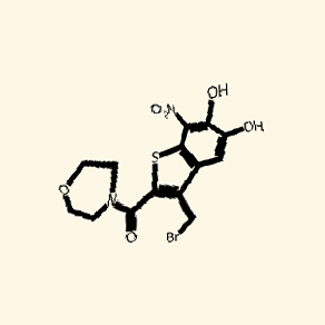 O=C(c1sc2c([N+](=O)[O-])c(O)c(O)cc2c1CBr)N1CCOCC1